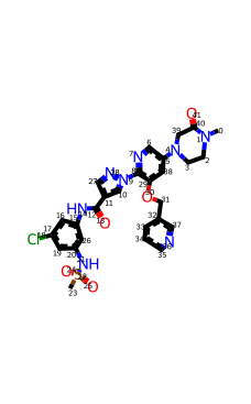 CN1CCN(c2cnc(-n3cc(C(=O)Nc4cc(Cl)cc(NS(C)(=O)=O)c4)cn3)c(OCc3cccnc3)c2)CC1=O